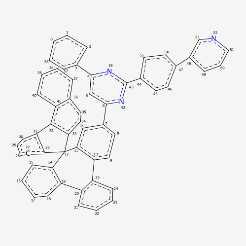 c1ccc(-c2cc(-c3ccc4c(c3)C3(c5ccccc5-c5ccccc5-4)c4ccccc4-c4c3ccc3ccccc43)nc(-c3ccc(-c4cccnc4)cc3)n2)cc1